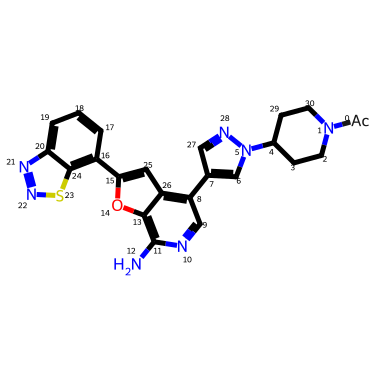 CC(=O)N1CCC(n2cc(-c3cnc(N)c4oc(-c5cccc6nnsc56)cc34)cn2)CC1